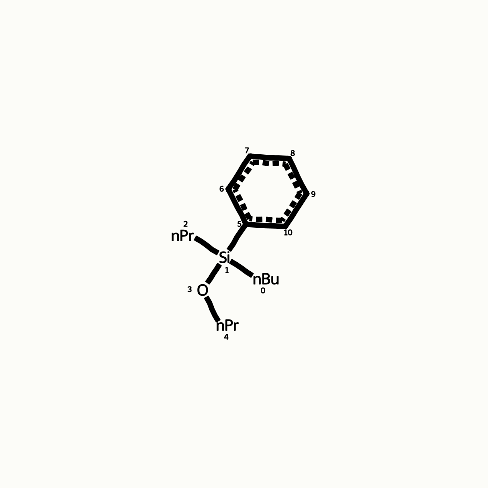 CCCC[Si](CCC)(OCCC)c1ccccc1